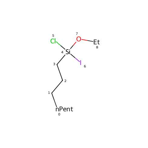 CCCCCCCC[Si](Cl)(I)OCC